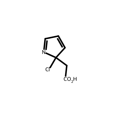 O=C(O)CC1(Cl)C=CC=N1